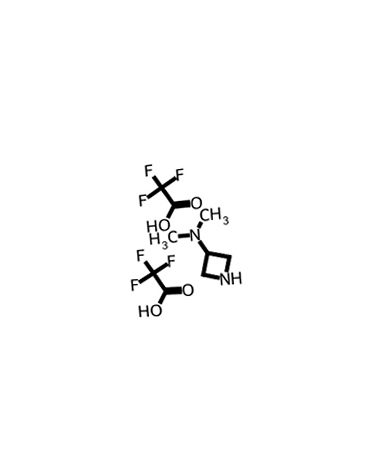 CN(C)C1CNC1.O=C(O)C(F)(F)F.O=C(O)C(F)(F)F